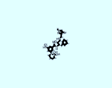 CCNc1cc(C(=O)N[C@@H](Cc2ccccc2)[C@@H](O)CNCc2nn(C)cc2Br)cc(N2CCCCS2(O)O)c1